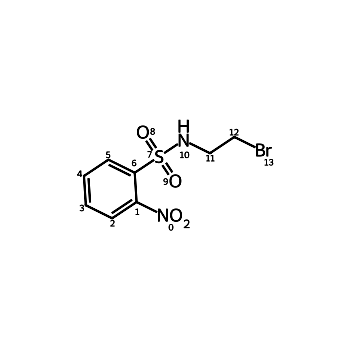 O=[N+]([O-])c1ccccc1S(=O)(=O)NCCBr